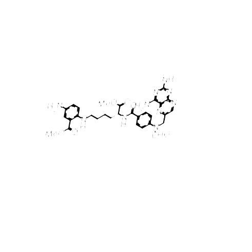 COC(=O)c1cc(N)ccc1NCCCC[C@H](NC(=O)c1ccc(N(C=O)Cc2cnc3nc(N)nc(N)c3n2)cc1)C(=O)OC